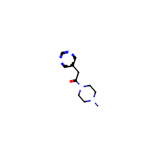 CN1CCN(C(=O)Cc2cncnc2)CC1